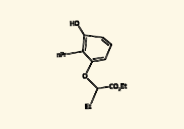 CCCc1c(O)cccc1OC(CC)C(=O)OCC